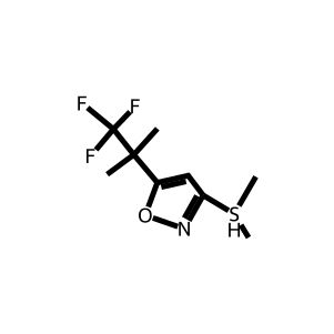 C[SH](C)c1cc(C(C)(C)C(F)(F)F)on1